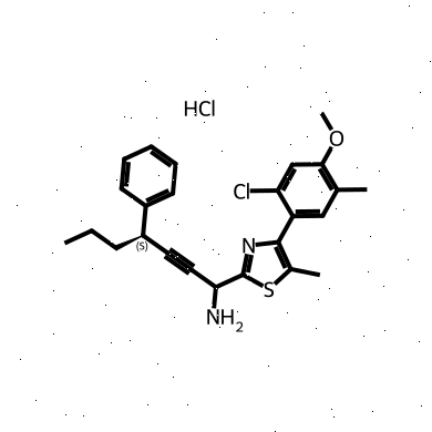 CCC[C@H](C#CC(N)c1nc(-c2cc(C)c(OC)cc2Cl)c(C)s1)c1ccccc1.Cl